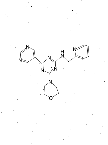 c1ccc(CNc2nc(-c3cncnc3)nc(N3CCOCC3)n2)nc1